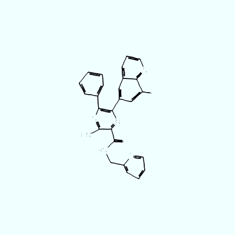 C[C@H](NC(=O)c1nc(-c2cc(Cl)c3ncccc3c2)c(-c2ccccc2)nc1N)c1ccccn1